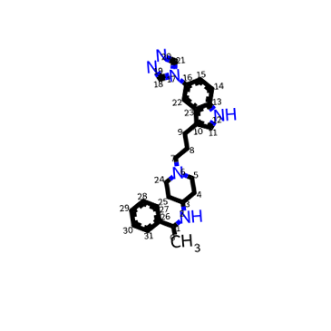 CC(NC1CCN(CCCc2c[nH]c3ccc(-n4cnnc4)cc23)CC1)c1ccccc1